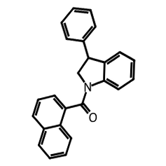 O=C(c1cccc2ccccc12)N1CC(c2ccccc2)c2ccccc21